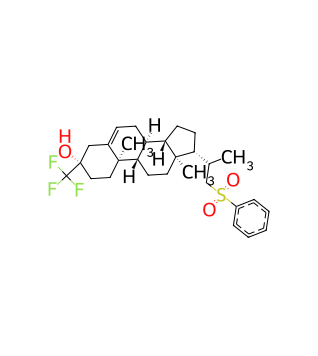 CC(CS(=O)(=O)c1ccccc1)[C@H]1CC[C@H]2[C@@H]3CC=C4C[C@](O)(C(F)(F)F)CC[C@]4(C)[C@H]3CC[C@]12C